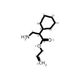 C=CCOC(=O)C(CN)C1CCCCC1